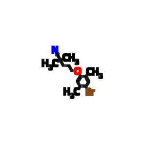 Cc1cc(OCCCC(C)(C)C#N)c(C)cc1Br